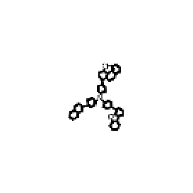 CC1CC=C(c2ccc(N(c3ccc(-c4ccc5ccccc5c4)cc3)c3ccc(-c4cccc5c4oc4ccccc45)cc3)cc2)c2ccc3ccccc3c21